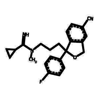 CN(CCCC1(c2ccc(F)cc2)OCc2cc(C#N)ccc21)C(=N)C1CC1